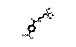 CO[Si](CCCNC(=O)c1ccc(B(O)O)cc1)(OC)OC